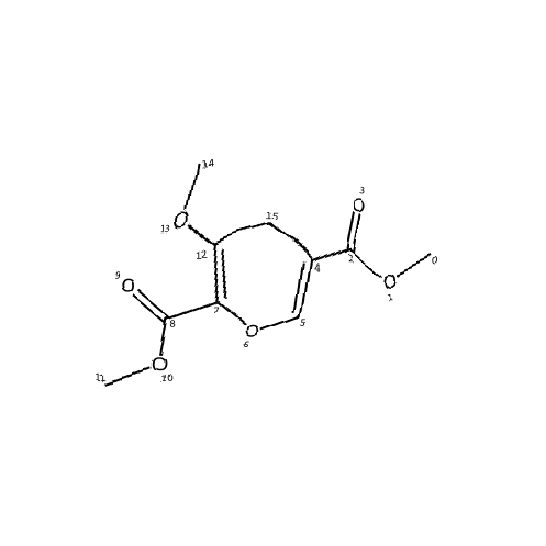 COC(=O)C1=COC(C(=O)OC)=C(OC)C1